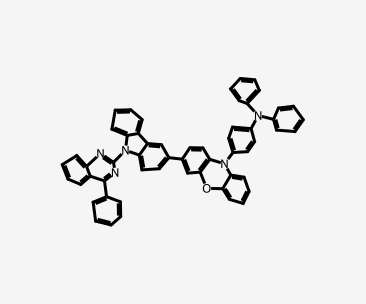 c1ccc(-c2nc(-n3c4ccccc4c4cc(-c5ccc6c(c5)Oc5ccccc5N6c5ccc(N(c6ccccc6)c6ccccc6)cc5)ccc43)nc3ccccc23)cc1